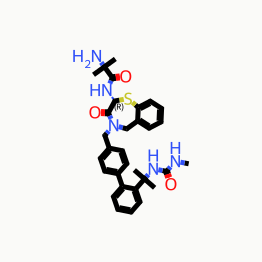 CNC(=O)NC(C)(C)c1ccccc1-c1ccc(CN2Cc3ccccc3S[C@@H](NC(=O)C(C)(C)N)C2=O)cc1